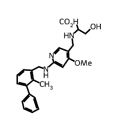 COc1cc(NCc2cccc(-c3ccccc3)c2C)ncc1CNC(CO)C(=O)O